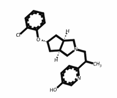 CC(CN1C[C@H]2C[C@H](Oc3ccccc3Cl)C[C@H]2C1)c1ccc(O)cn1